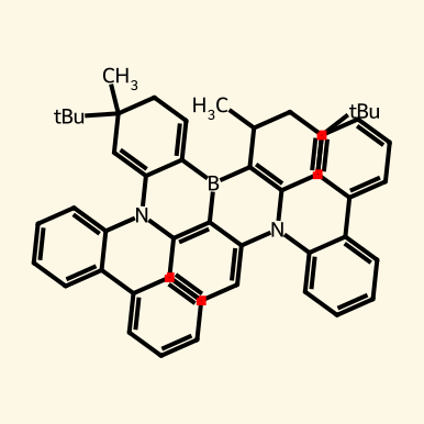 CC1CC(C(C)(C)C)=CC2=C1B1C3=CCC(C)(C(C)(C)C)C=C3N(c3ccccc3-c3ccccc3)c3cccc(c31)N2c1ccccc1-c1ccccc1